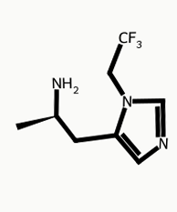 C[C@@H](N)Cc1cncn1CC(F)(F)F